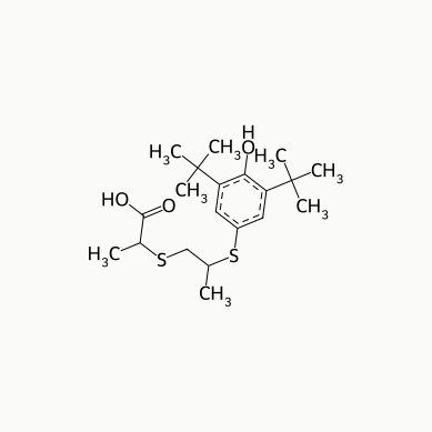 CC(CSC(C)C(=O)O)Sc1cc(C(C)(C)C)c(O)c(C(C)(C)C)c1